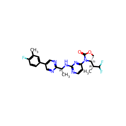 Cc1cc(-c2cnc([C@@H](C)Nc3nccc(N4C(=O)OC[C@@H]4[C@@H](C)C(F)F)n3)nc2)ccc1F